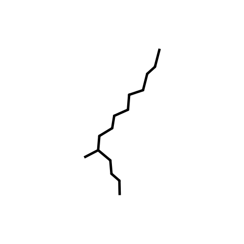 CCCCCCCCCC(C)CCCC